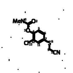 CNC(=O)Oc1ccc(SCC#N)cc1Cl